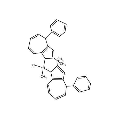 CC1=CC2=C(C=CC=CC2c2ccccc2)C1[Si](C)(Cl)C1C(C)=CC2=C1C=CC=CC2c1ccccc1